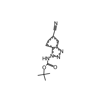 CC(C)(C)OC(=O)Nn1nnc2cc(C#N)ccc21